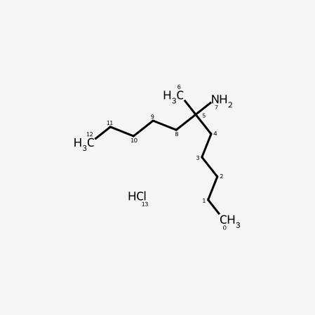 CCCCCC(C)(N)CCCCC.Cl